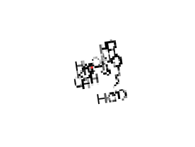 CN1[C@@H]2C[C@@H](OC(=O)Nc3cc(CCCCC(=O)O)ccc3-c3ccccc3)C[C@H]1[C@@H]1O[C@@H]12